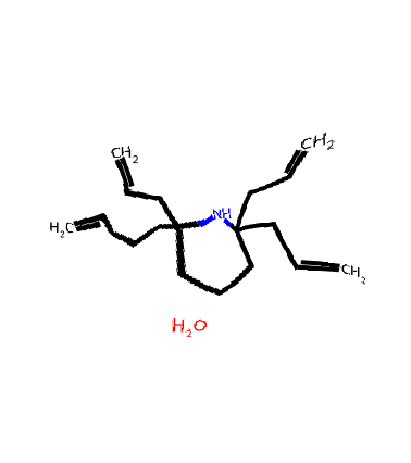 C=CCC1(CC=C)CCCC(CC=C)(CC=C)N1.O